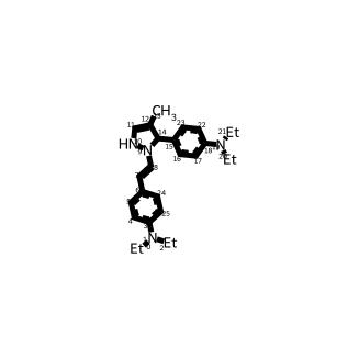 CCN(CC)c1ccc(C=CN2NC=C(C)C2c2ccc(N(CC)CC)cc2)cc1